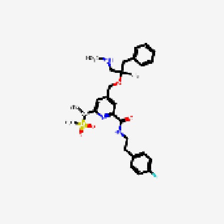 CCC[As](c1cc(COC(C)(CNC(=O)O)Cc2ccccc2)cc(C(=O)NCCc2ccc(F)cc2)n1)S(C)(=O)=O